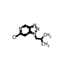 CC(C)Cn1nnc2cnc(Cl)cc21